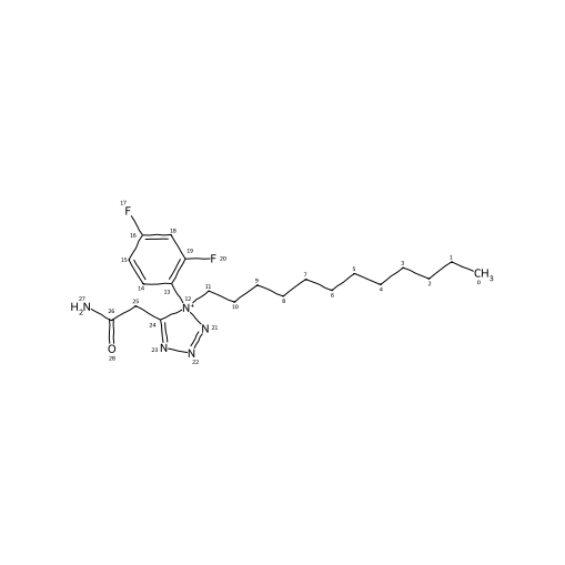 CCCCCCCCCCCC[N+]1(c2ccc(F)cc2F)N=NN=C1CC(N)=O